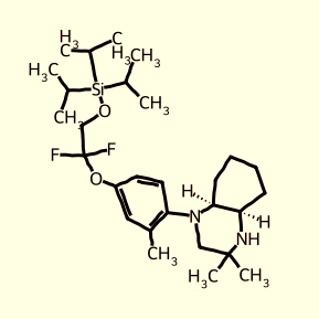 Cc1cc(OC(F)(F)CO[Si](C(C)C)(C(C)C)C(C)C)ccc1N1CC(C)(C)N[C@@H]2CCCC[C@@H]21